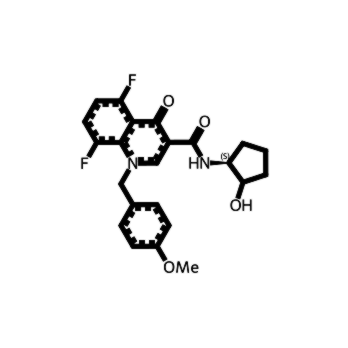 COc1ccc(Cn2cc(C(=O)N[C@H]3CCCC3O)c(=O)c3c(F)ccc(F)c32)cc1